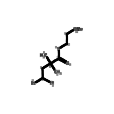 CCC(CC)CC(C)(C)C(=O)SCCOC